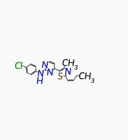 CC/C=C\c1nc(C)c(-c2ccnc(Nc3ccc(Cl)cc3)n2)s1